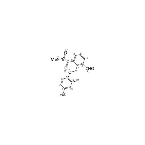 CCc1ccc(OCc2c(C=O)cccc2C(=O)C(=O)NC)c(C)c1